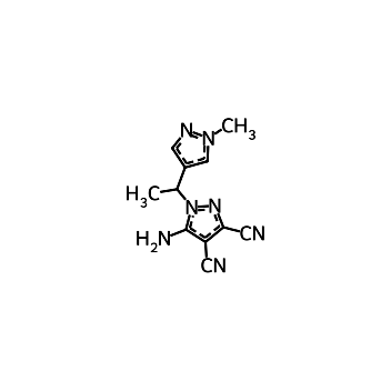 CC(c1cnn(C)c1)n1nc(C#N)c(C#N)c1N